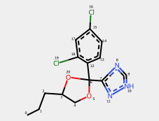 CCCC1COC(c2nc[nH]n2)(c2ccc(Cl)cc2Cl)O1